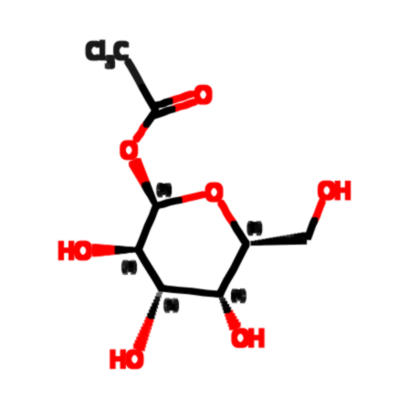 O=C(O[C@H]1O[C@H](CO)[C@H](O)[C@H](O)[C@H]1O)C(Cl)(Cl)Cl